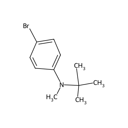 CN(c1ccc(Br)cc1)C(C)(C)C